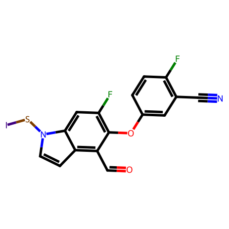 N#Cc1cc(Oc2c(F)cc3c(ccn3SI)c2C=O)ccc1F